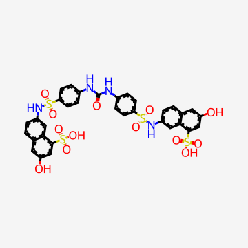 O=C(Nc1ccc(S(=O)(=O)Nc2ccc3cc(O)cc(S(=O)(=O)O)c3c2)cc1)Nc1ccc(S(=O)(=O)Nc2ccc3cc(O)cc(S(=O)(=O)O)c3c2)cc1